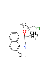 Cc1ccc2cccc(C(C)(C#N)O[Si](C)(C)CCl)c2c1